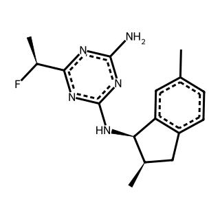 Cc1ccc2c(c1)[C@H](Nc1nc(N)nc([C@H](C)F)n1)[C@H](C)C2